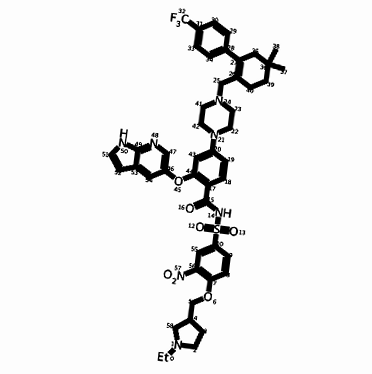 CCN1CCC(COc2ccc(S(=O)(=O)NC(=O)c3ccc(N4CCN(CC5=C(c6ccc(C(F)(F)F)cc6)CC(C)(C)CC5)CC4)cc3Oc3cnc4[nH]ccc4c3)cc2[N+](=O)[O-])C1